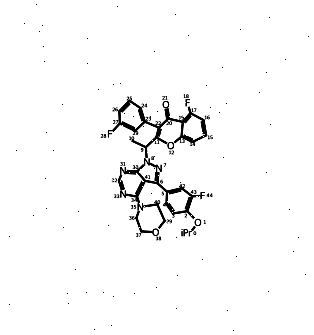 CC(C)Oc1ccc(-c2nn(C(C)c3oc4cccc(F)c4c(=O)c3-c3cccc(F)c3)c3ncnc(N4CCOCC4)c23)cc1F